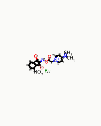 CN(C)c1cc[n+](CC(=O)ON=c2c(=O)c3cccc([N+](=O)[O-])c3c2=O)cc1.[Br-]